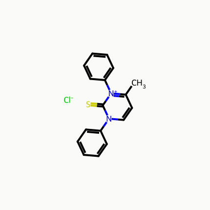 Cc1ccn(-c2ccccc2)c(=S)[n+]1-c1ccccc1.[Cl-]